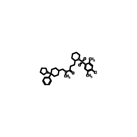 Cc1cc(S(=O)(=O)N2CCCCC2CCC(=O)N(C)CC2CCC(c3ccccc3)(N3CCCC3)CC2)c(C)cc1Cl